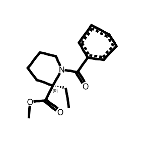 CC[C@]1(C(=O)OC)CCCCN1C(=O)c1ccccc1